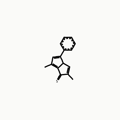 CC1=CC2C(c3ccccc3)=CC(C)=C2C1=S